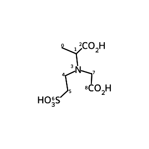 CC(C(=O)O)N(CCS(=O)(=O)O)CC(=O)O